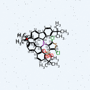 CC(C)(C)c1ccc2c(c1)C(P(c1c(Cl)sc(Cl)c1S(=O)(=O)O)C1c3cc(C(C)(C)C)ccc3-c3ccc(C(C)(C)C)cc31)c1cc(C(C)(C)C)ccc1-2